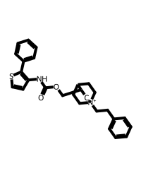 O=C(Nc1ccsc1-c1ccccc1)OCC1C[N+]2(CCc3ccccc3)CCC1CC2